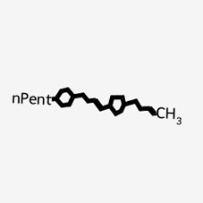 CC=CCCC1CCC(C=CCCC2CCC(CCCCC)CC2)CC1